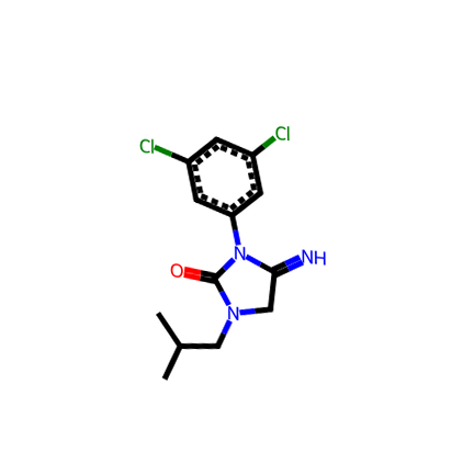 CC(C)CN1CC(=N)N(c2cc(Cl)cc(Cl)c2)C1=O